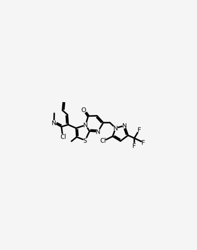 C=C/C=C(\C(Cl)=N/C)c1c(C)sc2nc(Cn3nc(C(F)(F)F)cc3Cl)cc(=O)n12